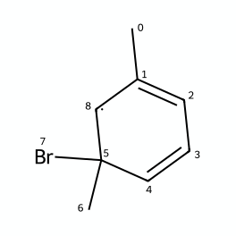 CC1=CC=CC(C)(Br)[CH]1